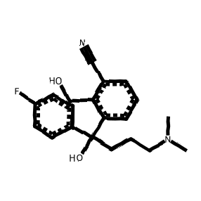 CN(C)CCCC(O)(c1ccc(F)cc1)c1cc[c]c(C#N)c1CO